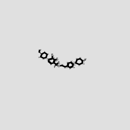 CC[C@H]1CC[C@H](c2ccc(C(F)(F)OCCc3ccc([C@H]4CC[C@H](C)CC4)cc3)c(F)c2F)CC1